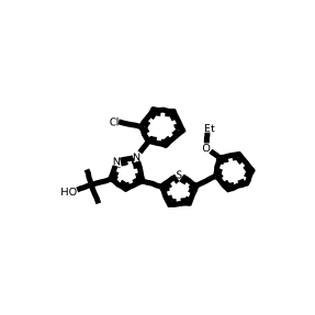 CCOc1ccccc1-c1ccc(-c2cc(C(C)(C)O)nn2-c2ccccc2Cl)s1